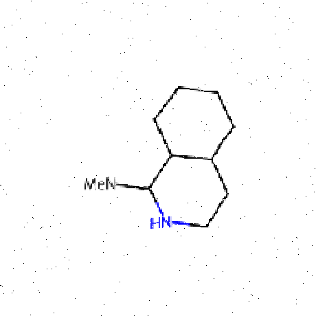 CNC1NCCC2CCCCC21